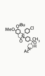 CCC(C)Oc1cc2c(cc1OC)CC(=O)N(c1ccc(C(C)(O)C3CCN(C(C)=O)CC3)cc1)[C@H]2c1ccc(Cl)cc1